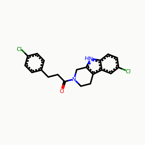 O=C(CCc1ccc(Cl)cc1)N1CCc2c([nH]c3ccc(Cl)cc23)C1